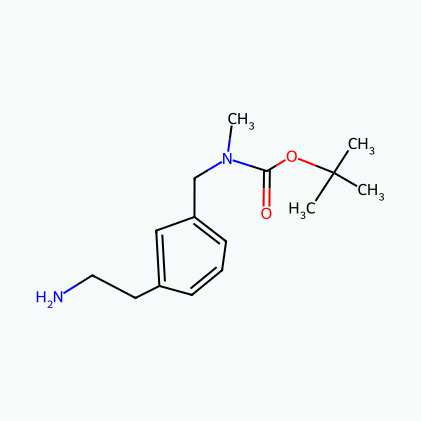 CN(Cc1cccc(CCN)c1)C(=O)OC(C)(C)C